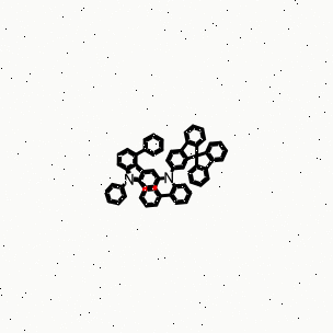 c1ccc(-c2ccccc2N(c2ccc3c(c2)C2(c4ccccc4-c4ccccc42)c2ccccc2-3)c2ccc3c(c2)c2c(-c4ccccc4)cccc2n3-c2ccccc2)cc1